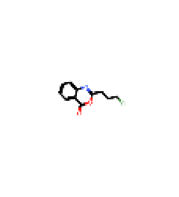 O=c1oc(CCCCl)nc2ccccc12